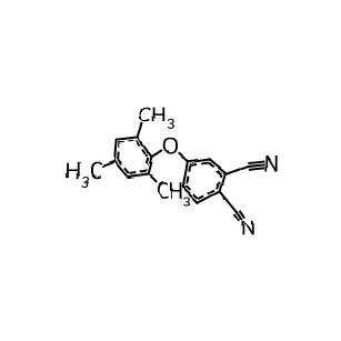 Cc1cc(C)c(Oc2ccc(C#N)c(C#N)c2)c(C)c1